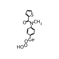 CN(C(=O)c1cccs1)c1cc[c]([Ge][O]OO)cc1